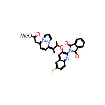 C=C(/C=C\C(=C(/C)C(C)Oc1cc2cc(F)ccc2nc1N1C(=O)c2ccccc2C1=O)n1cccn1)CC(=O)OC